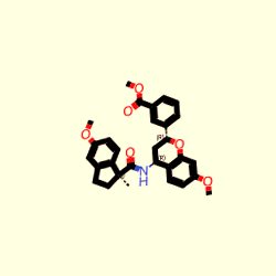 COC(=O)c1cccc([C@H]2C[C@@H](NC(=O)[C@@]3(C)CCc4cc(OC)ccc43)c3ccc(OC)cc3O2)c1